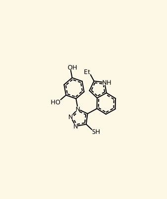 CCc1cc2c(-c3c(S)nnn3-c3ccc(O)cc3O)cccc2[nH]1